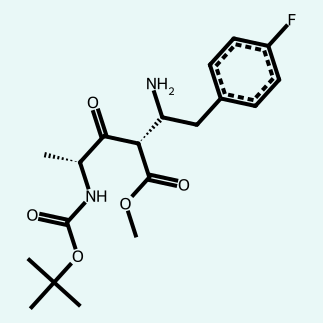 COC(=O)[C@H](C(=O)[C@@H](C)NC(=O)OC(C)(C)C)C(N)Cc1ccc(F)cc1